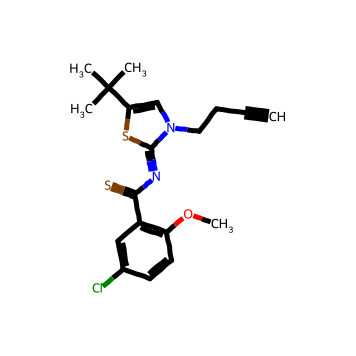 C#CCCn1cc(C(C)(C)C)sc1=NC(=S)c1cc(Cl)ccc1OC